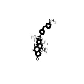 CC12C[C@H](O)[C@@]3(F)C(C[C@H](F)C4=CC(=O)C=CC43C)[C@@H]1C[C@H]1O[C@@H](c3ccc(Cc4cccc(N)c4)cc3)O[C@]12C(=O)CO